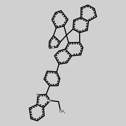 CCn1c(-c2ccc(-c3ccc4c5c(ccc4c3)-c3cc4ccccc4cc3C53c4ccccc4-c4ccccc43)cc2)nc2ccccc21